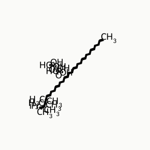 CC=CCCC=CCCC=CCCC=CCCC=CCCC=CCCC=CC(C)(C)C(C)(C)C(C)=C(C)C(C)C.O=P(O)(O)O.O=P(O)(O)O